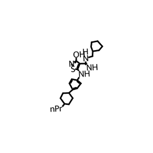 CCCC1CCC(c2ccc(Nc3snc(O)c3C(=N)NCC3CCCCC3)cc2)CC1